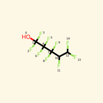 OC(F)(F)C(F)(F)C(F)(F)C(F)C(F)F